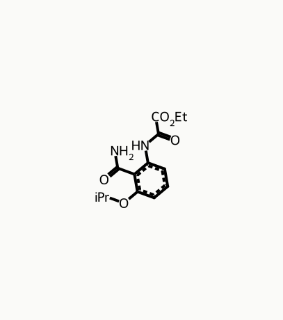 CCOC(=O)C(=O)Nc1cccc(OC(C)C)c1C(N)=O